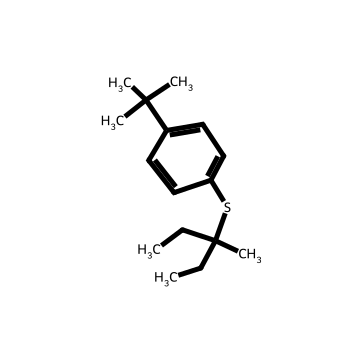 CCC(C)(CC)Sc1ccc(C(C)(C)C)cc1